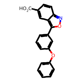 O=C(O)c1ccc2noc(-c3cccc(Oc4ccccc4)c3)c2c1